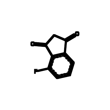 O=C1CC(=O)c2c(F)cccc21